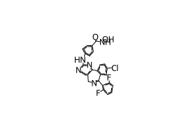 O=C(NO)c1ccc(Nc2ncc3c(n2)-c2ccc(Cl)cc2C(c2c(F)cccc2F)=NC3)cc1